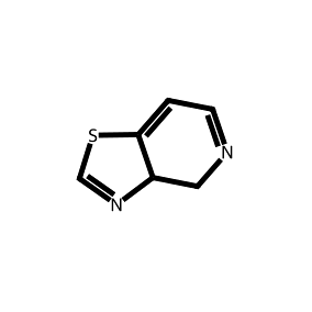 C1=NCC2N=CSC2=C1